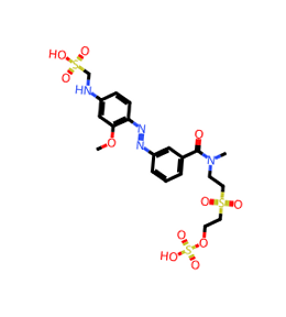 COc1cc(NCS(=O)(=O)O)ccc1/N=N/c1cccc(C(=O)N(C)CCS(=O)(=O)CCOS(=O)(=O)O)c1